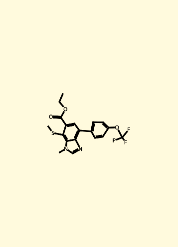 CCOC(=O)c1cc(-c2ccc(OC(F)(F)F)cc2)c2ncn(C)c2c1SC